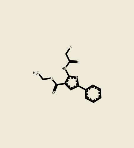 CCOC(=O)c1cc(-c2ccccc2)sc1NC(=O)C[S]